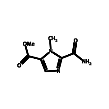 COC(=O)c1cnc(C(N)=O)n1C